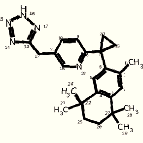 Cc1cc2c(cc1C1(c3ccc(Cc4nn[nH]n4)cn3)CC1)C(C)(C)CCC2(C)C